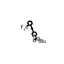 CC(C)(C)OC(=O)N1CC=C(C#Cc2ccccc2C(F)(F)F)CC1